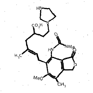 CNC(=O)Nc1c(C/C=C(\C)CC(CCN2CCNC2)C(=O)O)c(OC)c(C)c2c1C(=O)OC2